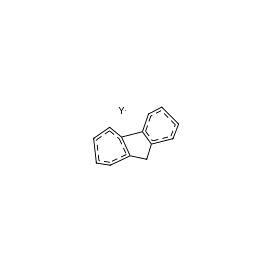 [Y].c1ccc2c(c1)Cc1ccccc1-2